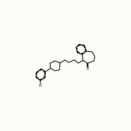 O=C1CCCc2ccccc2N1CCCCN1CCN(c2cccc(Cl)c2)CC1